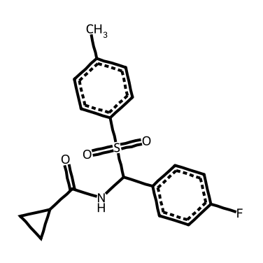 Cc1ccc(S(=O)(=O)C(NC(=O)C2CC2)c2ccc(F)cc2)cc1